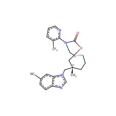 C[C@]1(Cn2cnc3ccc(C#N)cc32)CCC[C@@]2(CN(c3ncccc3C(F)(F)F)C(=O)O2)C1